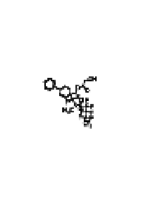 CN(C(F)(F)C1(COC(=O)CO)C=CC(c2ccccc2)=CC1)S(=O)(=O)C(F)(F)C(F)(F)C(F)(F)C(F)(F)F